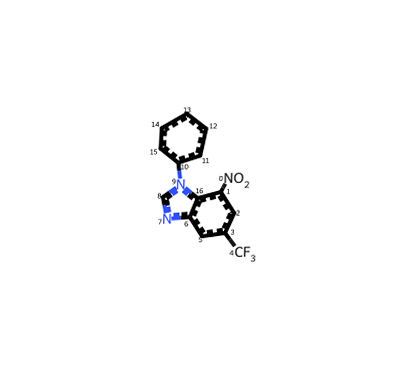 O=[N+]([O-])c1cc(C(F)(F)F)cc2ncn(-c3ccccc3)c12